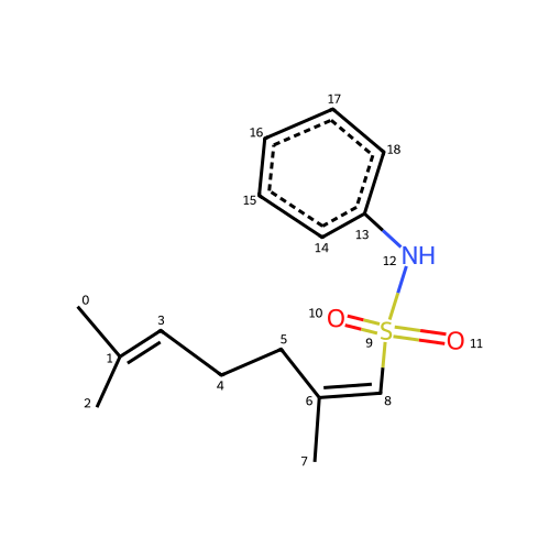 CC(C)=CCCC(C)=CS(=O)(=O)Nc1ccccc1